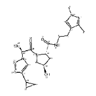 Cc1nn(C)cc1CCNC(=O)[C@@H]1C[C@@H](O)CN1C(=O)[C@@H](n1cc(C2CC2)nn1)C(C)(C)C